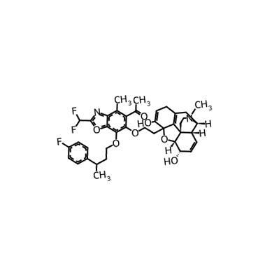 CC(=O)c1c(OCCC23O[C@H]4[C@@H](O)C=C[C@H]5[C@H]6CC(=C2[C@]54CCN6C)CC=C3O)c(OCCC(C)c2ccc(F)cc2)c2oc(C(F)F)nc2c1C